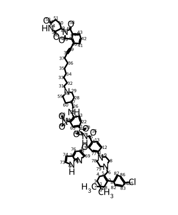 CC1(C)CCC(CN2CCN(c3ccc(C(=O)NS(=O)(=O)c4ccc(NCC5CCN(CCCCCCCC#Cc6cccc7c6C(=O)N(C6CCC(=O)NC6=O)C7=O)CC5)c([N+](=O)[O-])c4)c(Oc4cnc5[nH]ccc5c4)c3)CC2)=C(c2ccc(Cl)cc2)C1